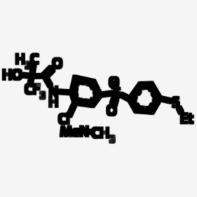 CCSc1ccc(S(=O)(=O)c2ccc(NC(=O)C(C)(O)C(F)(F)F)c(Cl)c2)cc1.CNC